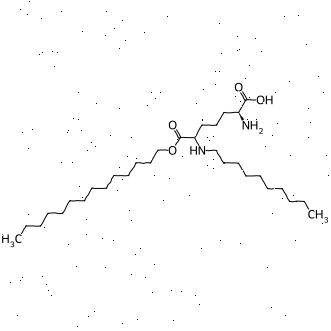 CCCCCCCCCCCCCCOC(=O)C(CCC[C@H](N)C(=O)O)NCCCCCCCCCC